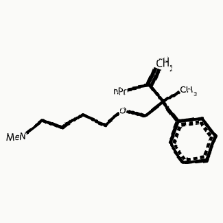 C=C(CCC)C(C)(COCCCCNC)c1ccccc1